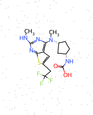 CNc1nc(N(C)[C@@H]2CC[C@H](NC(=O)O)C2)c2cc(CC(F)(F)F)sc2n1